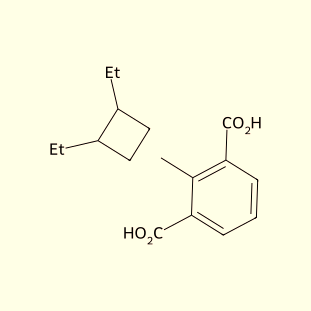 CCC1CCC1CC.Cc1c(C(=O)O)cccc1C(=O)O